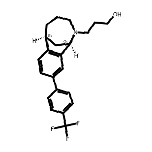 OCCCN1CCC[C@H]2C[C@@H]1c1cc(-c3ccc(C(F)(F)F)cc3)ccc12